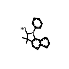 CC1(C)c2ccc3ccccc3c2N(c2ccccc2)C1O